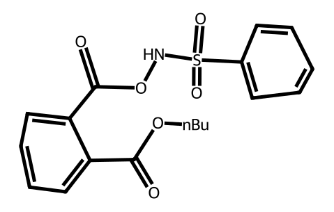 CCCCOC(=O)c1ccccc1C(=O)ONS(=O)(=O)c1ccccc1